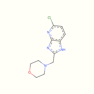 Clc1ccc2[nH]c(CN3CCOCC3)nc2n1